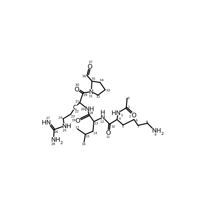 CC(=O)NC(CCCCN)C(=O)NC(CC(C)C)C(=O)NC(CCCNC(=N)N)C(=O)N1CCCC1C=O